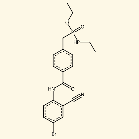 CCOP(=O)(Cc1ccc(C(=O)Nc2ccc(Br)cc2C#N)cc1)PCC